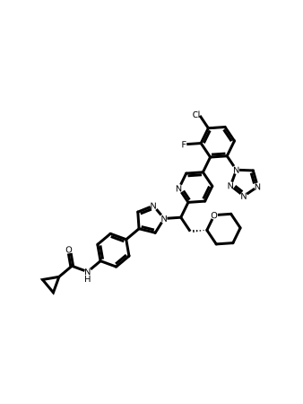 O=C(Nc1ccc(-c2cnn(C(C[C@H]3CCCCO3)c3ccc(-c4c(-n5cnnn5)ccc(Cl)c4F)cn3)c2)cc1)C1CC1